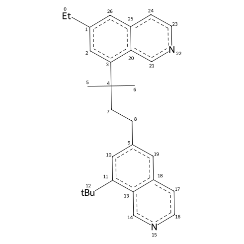 CCc1cc(C(C)(C)CCc2cc(C(C)(C)C)c3cnccc3c2)c2cnccc2c1